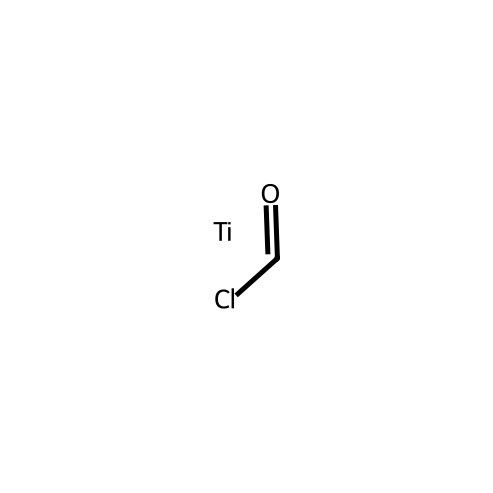 O=CCl.[Ti]